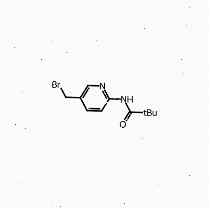 CC(C)(C)C(=O)Nc1ccc(CBr)cn1